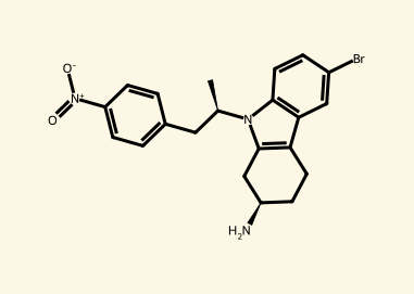 C[C@H](Cc1ccc([N+](=O)[O-])cc1)n1c2c(c3cc(Br)ccc31)CC[C@@H](N)C2